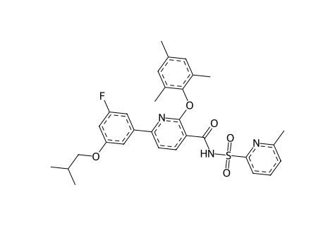 Cc1cc(C)c(Oc2nc(-c3cc(F)cc(OCC(C)C)c3)ccc2C(=O)NS(=O)(=O)c2cccc(C)n2)c(C)c1